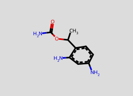 CC(OC(N)=O)c1ccc(N)cc1N